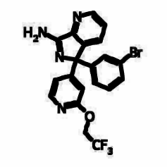 NC1=NC(c2cccc(Br)c2)(c2ccnc(OCC(F)(F)F)c2)c2cccnc21